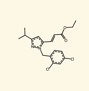 CCOC(=O)/C=C/c1cc(C(C)C)nn1Cc1ccc(Cl)cc1Cl